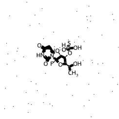 CC(O)[C@H]1O[C@@](F)(n2ccc(=O)[nH]c2=O)[C@H](O)[C@@H]1OP(O)(O)=S